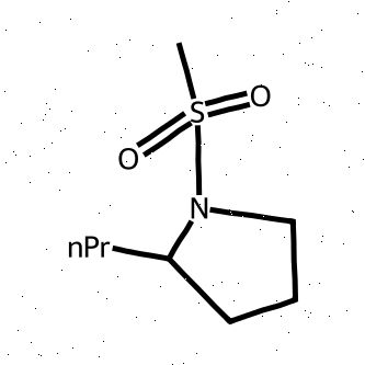 CCCC1CCCN1S(C)(=O)=O